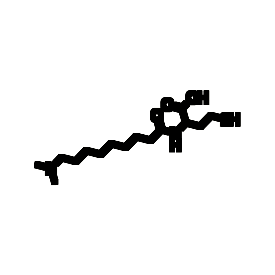 CN(C)CCCCCCCCC(=O)NC(CCS)C(=O)O